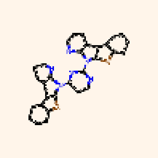 c1ccc2c(c1)sc1c2c2cccnc2n1-c1ccnc(-n2c3ncccc3c3c4ccccc4sc32)n1